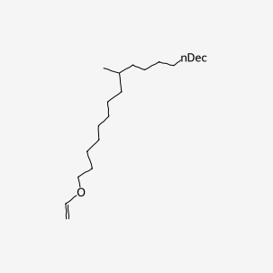 C=COCCCCCCCCC(C)CCCCCCCCCCCCCC